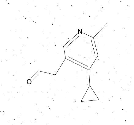 Cc1cc(C2CC2)c(CC=O)cn1